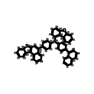 c1ccc2c(-c3ccc(N(c4ccc(-c5cc6sc7ccccc7c6c6ccccc56)cc4)c4cccc5oc6ccccc6c45)cc3)cccc2c1